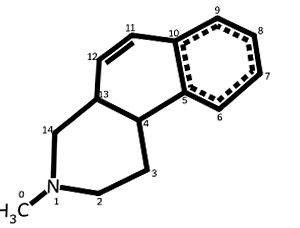 CN1CCC2c3ccccc3C=CC2C1